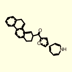 C1=CC=CNC=C1.O=C(c1ccco1)C1C=c2c(ccc3c2=CCc2ccccc2-3)CC1